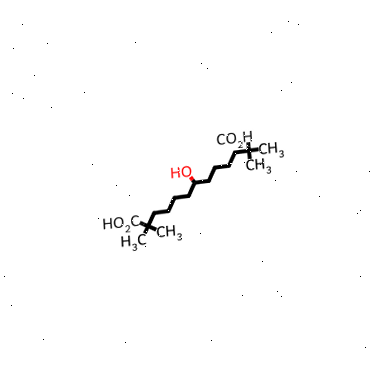 CC(C)(CCCCC(O)CCCCC(C)(C)C(=O)O)C(=O)O